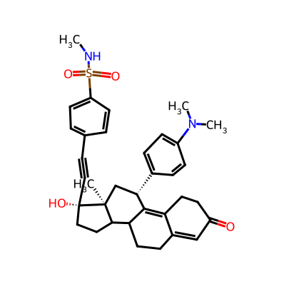 CNS(=O)(=O)c1ccc(C#C[C@]2(O)CCC3C4CCC5=CC(=O)CCC5=C4[C@@H](c4ccc(N(C)C)cc4)C[C@@]32C)cc1